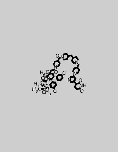 CC(C)[C@@H](CS(=O)(=O)C(C)C)N1C(=O)[C@@](C)(CC(=O)N2CCC(C(=O)N3CCC(CC4CCN(CC5CCN(c6cncc(C7CCC(=O)NC7=O)c6)CC5)CC4)CC3)CC2)C[C@H](c2cccc(Cl)c2)[C@H]1c1ccc(Cl)cc1